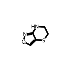 c1onc2c1SCCN2